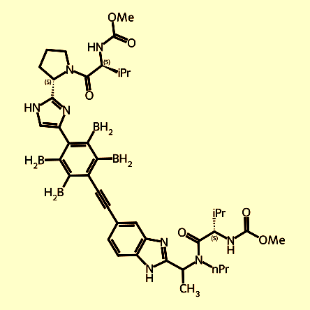 Bc1c(B)c(-c2c[nH]c([C@@H]3CCCN3C(=O)[C@@H](NC(=O)OC)C(C)C)n2)c(B)c(B)c1C#Cc1ccc2[nH]c(C(C)N(CCC)C(=O)[C@@H](NC(=O)OC)C(C)C)nc2c1